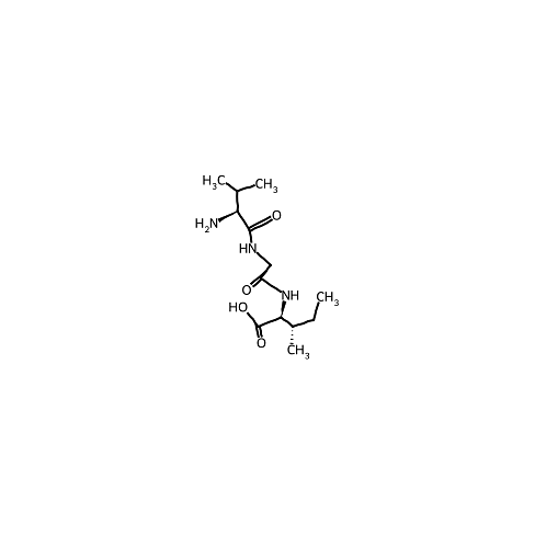 CC[C@H](C)[C@H](NC(=O)CNC(=O)[C@@H](N)C(C)C)C(=O)O